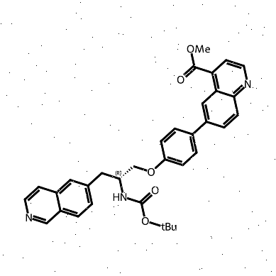 COC(=O)c1ccnc2ccc(-c3ccc(OC[C@@H](Cc4ccc5cnccc5c4)NC(=O)OC(C)(C)C)cc3)cc12